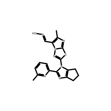 Cc1cccc(-c2nc3c(n2-c2nn4c(C=NO)c(C)nc4s2)CCC3)n1